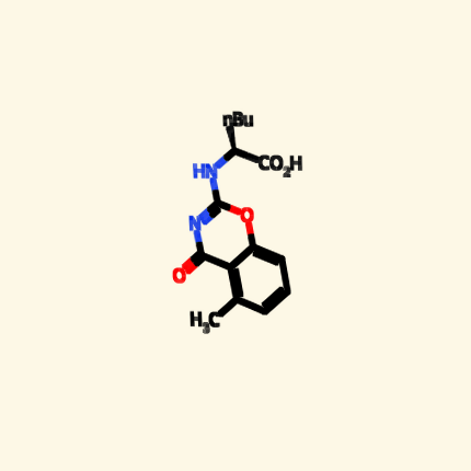 CCCC[C@H](Nc1nc(=O)c2c(C)cccc2o1)C(=O)O